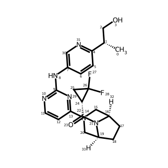 C[C@@H](CO)c1ccc(Nc2nccc(N3C[C@H]4CC[C@@H](C3)N4C(=O)[C@@H]3CC3(F)F)n2)cn1